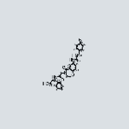 O=C(O)CC(NC(=O)CN1CCOc2ccc(NC(=O)NCc3ccc(F)cc3)cc2C1=O)c1cccnc1